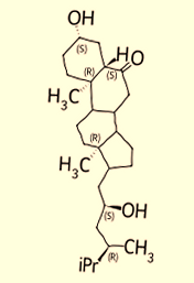 CC(C)[C@H](C)C[C@H](O)CC1CCC2C3CC(=O)[C@H]4C[C@@H](O)CC[C@]4(C)C3CC[C@]12C